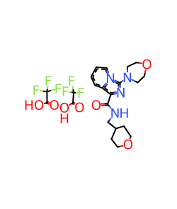 O=C(NCC1CCOCC1)c1nc(N2CCOCC2)n2ccccc12.O=C(O)C(F)(F)F.O=C(O)C(F)(F)F